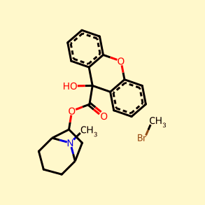 CBr.CN1C2CCCC1C(OC(=O)C1(O)c3ccccc3Oc3ccccc31)C2